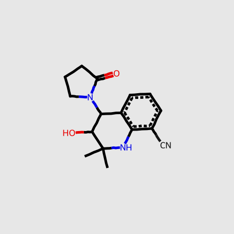 CC1(C)Nc2c(C#N)cccc2C(N2CCCC2=O)C1O